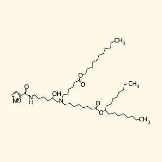 CCCCCCCCCCCOC(=O)CCCCCN(CCCCCCCC(=O)OC(CCCCCCCC)CCCCCCCC)CC(O)CCCCNC(=O)c1ccno1